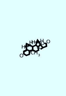 C[C@]12CCC(=O)C=C1[C@@H]1C[C@@H]1C1C3[C@@H]4C[C@@H]4[C@@]45OC(=O)CC4C[C@]35CCC12